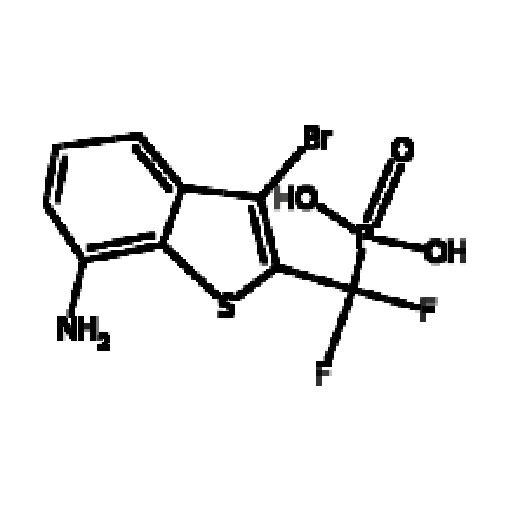 Nc1cccc2c(Br)c(C(F)(F)P(=O)(O)O)sc12